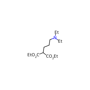 CCOC(=O)C(CCCN(CC)CC)C(=O)OCC